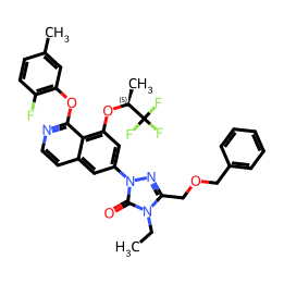 CCn1c(COCc2ccccc2)nn(-c2cc(O[C@@H](C)C(F)(F)F)c3c(Oc4cc(C)ccc4F)nccc3c2)c1=O